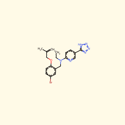 C=C(C)COc1ccc(Br)cc1CN(CC)c1ccc(-c2nnn[nH]2)cn1